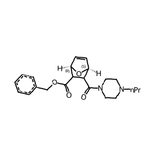 CCCN1CCN(C(=O)C2C(C(=O)OCc3ccccc3)[C@H]3C=C[C@@H]2O3)CC1